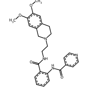 COc1cc2c(cc1OC)CN(CCNC(=O)c1ccccc1NC(=O)c1ccncc1)CC2